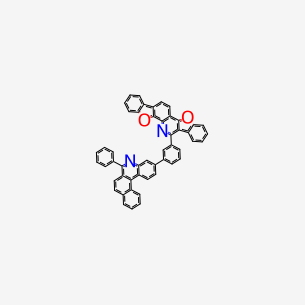 c1ccc(-c2nc3cc(-c4cccc(-c5nc6c(ccc7c8ccccc8oc76)c6oc7ccccc7c56)c4)ccc3c3c2ccc2ccccc23)cc1